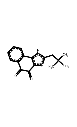 CC(C)(C)Cc1nc2c([nH]1)-c1ccccc1C(=O)C2=O